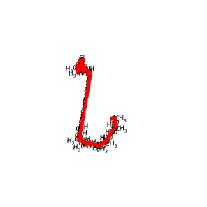 CC(=N)N1C(=N)[C@H](CC(=O)Nc2ccc(OCCOCCOCCOCCOCCOCCOCCOCCOCCOCCNC(=O)CCNC(=O)c3cc(NC(=O)c4nc(NC(=O)CCNC(=O)c5nc(NC(=O)c6nc(NC(=O)CCNC(=O)c7cc(NC(=O)c8nccn8C)cn7C)cn6C)cn5C)cn4C)cn3C)cc2)N=C(c2ccc(Cl)cc2)c2c1sc(C)c2C